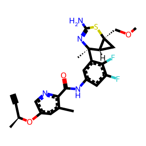 C#C[C@H](C)Oc1cnc(C(=O)Nc2cc(F)c(F)c([C@@]3(C)N=C(N)S[C@@]4(COC)C[C@H]43)c2)c(C)c1